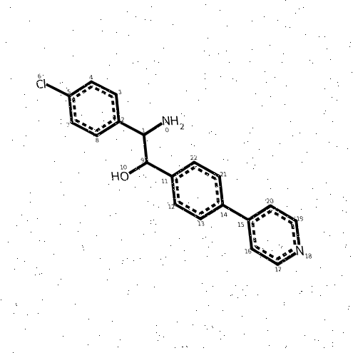 NC(c1ccc(Cl)cc1)C(O)c1ccc(-c2ccncc2)cc1